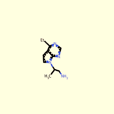 CCc1ncnc2c1ccn2C(C)CN